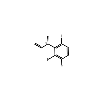 C=C[C@@H](C)c1c(I)ccc(F)c1F